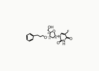 O=c1[nH]c(=O)n([C@H]2C[C@H](OCCCc3ccccc3)[C@@H](CO)O2)cc1F